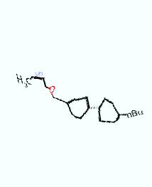 C/C=C\COCC1CCC([C@H]2CC[C@H](CCCC)CC2)CC1